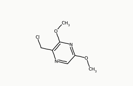 COc1cnc(CCl)c(OC)n1